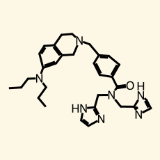 CCCN(CCC)c1ccc2c(c1)CN(Cc1ccc(C(=O)N(Cc3ncc[nH]3)Cc3ncc[nH]3)cc1)CC2